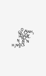 CCN(c1nc(OCC2(COC)CCCN2)nc(N2CC3(C2)SCc2sc(N)c(C#N)c23)c1C#N)[C@H](C)c1cccnc1N